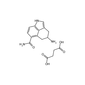 NC(=O)c1ccc2[nH]cc3c2c1CC(N)C3.O=C(O)CCC(=O)O